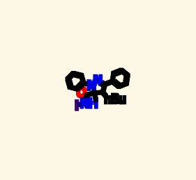 CCCCC1C(c2ccccc2)=NN(c2ccccc2)C1(C)C(=O)NI